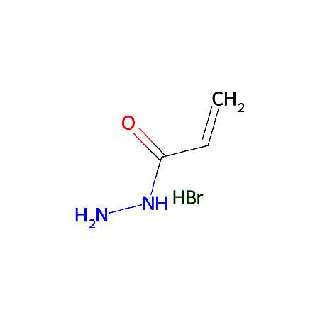 Br.C=CC(=O)NN